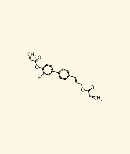 C=CC(=O)OC/C=C/c1ccc(-c2ccc(OC(=O)C=C)c(F)c2)cc1